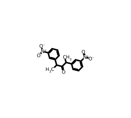 CC(C(=O)C(C)c1cccc([N+](=O)[O-])c1)c1cccc([N+](=O)[O-])c1